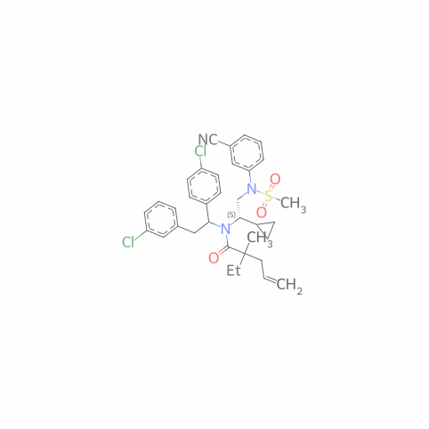 C=CCC(C)(CC)C(=O)N(C(Cc1cccc(Cl)c1)c1ccc(Cl)cc1)[C@H](CN(c1cccc(C#N)c1)S(C)(=O)=O)C1CC1